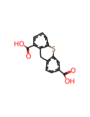 O=C(O)c1ccc2c(c1)Sc1cccc(C(=O)O)c1C2